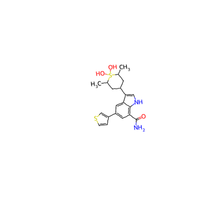 CC1CC(c2c[nH]c3c(C(N)=O)cc(-c4ccsc4)cc23)CC(C)S1(O)O